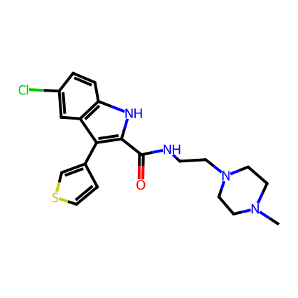 CN1CCN(CCNC(=O)c2[nH]c3ccc(Cl)cc3c2-c2ccsc2)CC1